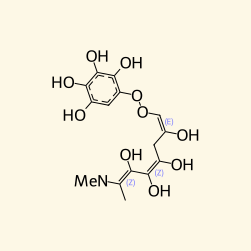 CN/C(C)=C(O)/C(O)=C(/O)C/C(O)=C\OOc1cc(O)c(O)c(O)c1O